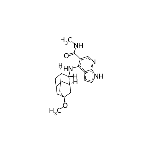 CNC(=O)c1cnc2[nH]ccc2c1N[C@@H]1[C@@H]2CC3C[C@H]1C[C@@](OC)(C3)C2